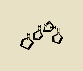 c1c[nH]cn1.c1cc[nH]c1.c1cc[nH]c1.c1cc[nH]c1